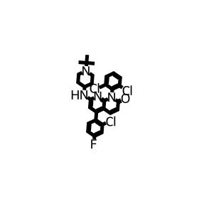 CC(C)(C)N1CCC(Nc2cc(-c3ccc(F)cc3Cl)c3ccc(=O)n(-c4c(Cl)cccc4Cl)c3n2)CC1